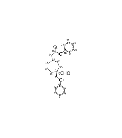 O=CC1(COc2ccccc2)CCCC(CC(=O)Oc2ccccc2)CC1